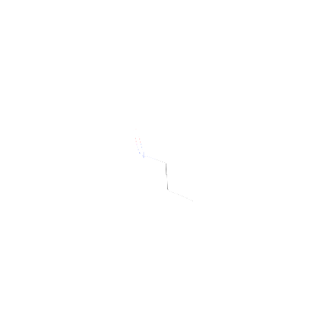 [CH2]CCN=O